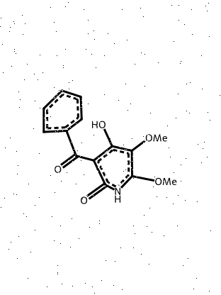 COc1[nH]c(=O)c(C(=O)c2ccccc2)c(O)c1OC